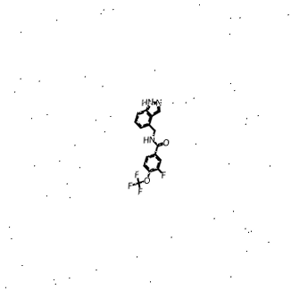 O=C(NCc1cccc2[nH]ncc12)c1ccc(OC(F)(F)F)c(F)c1